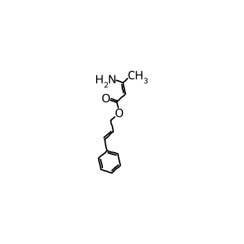 CC(N)=CC(=O)OCC=Cc1ccccc1